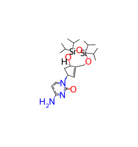 CC(C)[Si]1(C(C)C)OCC2=C[C@@H](n3ccc(N)nc3=O)C[C@H]2O[Si](C(C)C)(C(C)C)O1